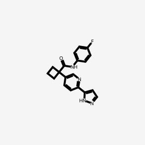 O=C(Nc1ccc(F)cc1)C1(c2ccc(-c3ccn[nH]3)nc2)CCC1